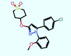 COc1ccccc1-n1nc(OC2CCS(=O)(=O)CC2)cc1-c1ccc(Cl)cc1